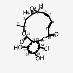 C[C@H]1C[C@H]2O[C@@H]2/C=C\C=C\C(=O)Cc2c(Cl)c(O)cc(O)c2C(=O)O1